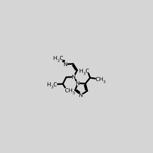 C=N/C=C\N(CC(C)C)n1cncc1C(C)C